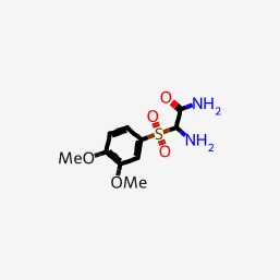 COc1ccc(S(=O)(=O)C(N)C(N)=O)cc1OC